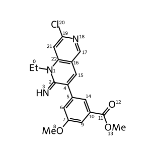 CCn1c(=N)c(-c2cc(OC)cc(C(=O)OC)c2)cc2cnc(Cl)cc21